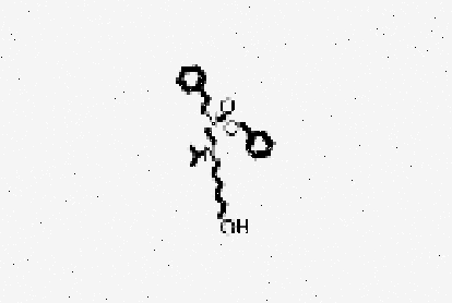 CC(C)N(CCCCCCO)CCN(CCc1ccccc1)C(=O)OCc1ccccc1